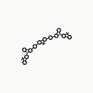 CC1(C)c2cc(-c3ccc(-c4ccc5c(c4)c4ccccc4n5-c4ccc5c(c4)C(C)(C)c4ccccc4-5)cc3)ccc2-c2ccc(-c3ccc(-c4ccc5c(c4)c4ccccc4n5-c4ccc5c(c4)C(C)(C)c4ccccc4-5)cc3)cc21